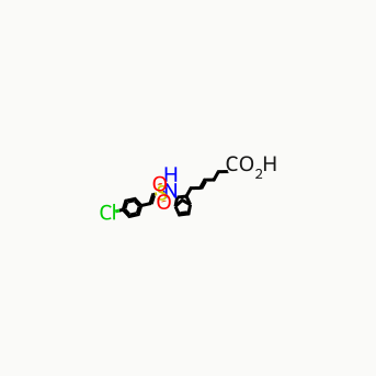 O=C(O)CCCC=CCC1C2C=CC(C2)C1NS(=O)(=O)C=Cc1ccc(Cl)cc1